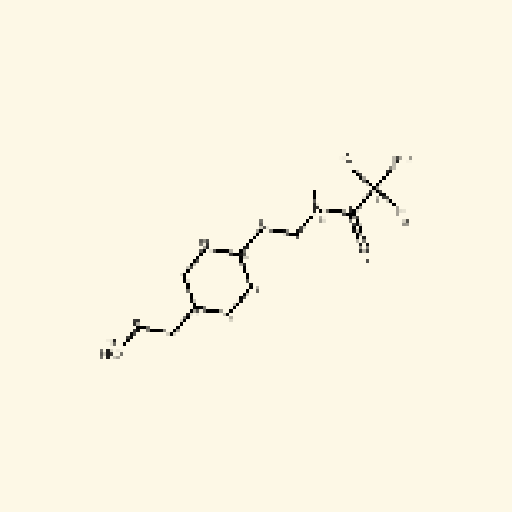 O=C(NCCC1CCC(CCO)CC1)C(F)(F)F